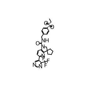 CCS(=O)(=O)c1ccc(CNC(=O)N2CC3(CCCC3)c3nc(-c4cncnc4C(F)(F)F)ccc32)cc1